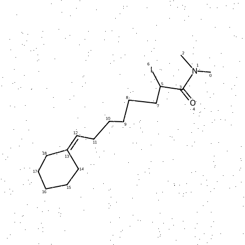 CN(C)C(=O)C(I)CCCCCC=C1CCCCC1